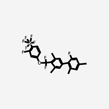 Cc1cc(C)c(-c2cc(C)c(C(F)(F)Oc3ccc(S(F)(F)(F)(F)F)c(F)c3)c(C)c2)c(F)c1